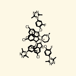 Cc1nnc(C)n1-c1ccc(O[C@@H]2c3cc(Cl)cc(Cl)c3C[C@H]2C2CN(C)CCC[N+]2([C@H]2Cc3c(Cl)cc(Cl)cc3[C@H]2Oc2ccc(-n3c(C)nnc3C)cc2F)[C@H]2Cc3c(Cl)cc(Cl)cc3[C@H]2Oc2ccc(-n3c(C)nnc3C)cc2F)c(F)c1